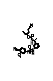 CCC(CCC#N)OC(=O)N[C@@H](C)c1cccc(NC(=O)Nc2ccc(C#N)c(OC)c2)c1